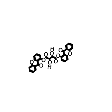 O=C(Oc1cccc2oc3ccccc3c(=O)c12)C(O)C(O)C(=O)Oc1cccc2oc3ccccc3c(=O)c12